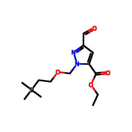 CCOC(=O)c1cc(C=O)nn1COCC[Si](C)(C)C